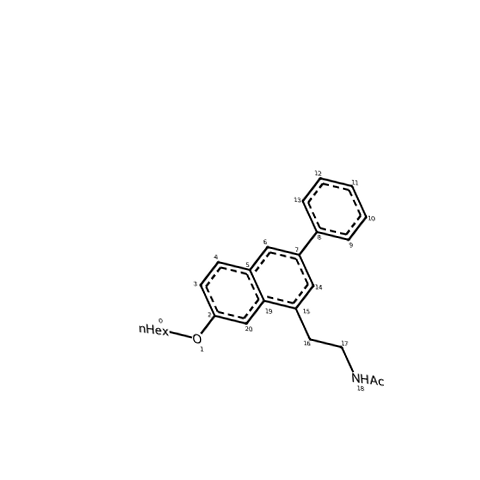 CCCCCCOc1ccc2cc(-c3ccccc3)cc(CCNC(C)=O)c2c1